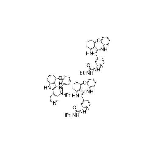 CC(C)NC(=O)Nc1cc(-c2[nH]c3c(c2Nc2ccccc2)C(=O)CCC3)ccn1.CC(C)Nc1cnccc1-c1[nH]c2c(c1Nc1ccccc1)C(=O)CCC2.CCNC(=O)Nc1cc(-c2[nH]c3c(c2Nc2ccccc2)C(=O)CCC3)ccn1